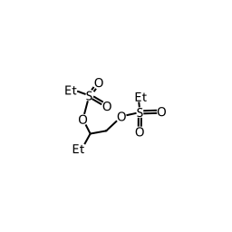 CCC(COS(=O)(=O)CC)OS(=O)(=O)CC